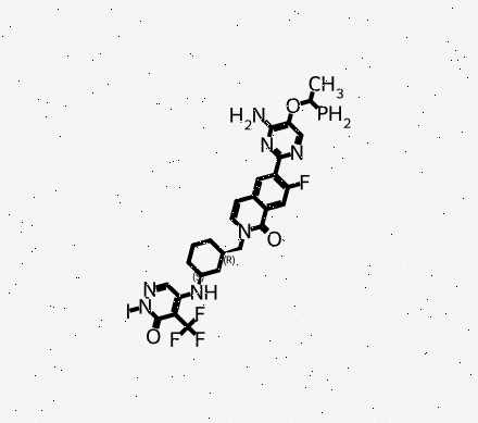 CC(P)Oc1cnc(-c2cc3ccn(C[C@@H]4CCC[C@H](Nc5cnn(I)c(=O)c5C(F)(F)F)C4)c(=O)c3cc2F)nc1N